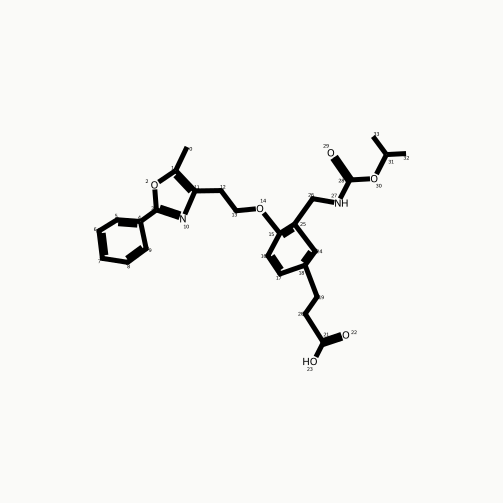 Cc1oc(-c2ccccc2)nc1CCOc1ccc(CCC(=O)O)cc1CNC(=O)OC(C)C